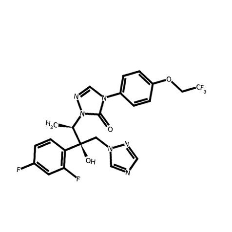 C[C@@H](n1ncn(-c2ccc(OCC(F)(F)F)cc2)c1=O)[C@](O)(Cn1cncn1)c1ccc(F)cc1F